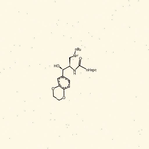 CCCCCCCC(=O)N[C@H](CNCCCC)[C@H](O)c1ccc2c(c1)OCCO2